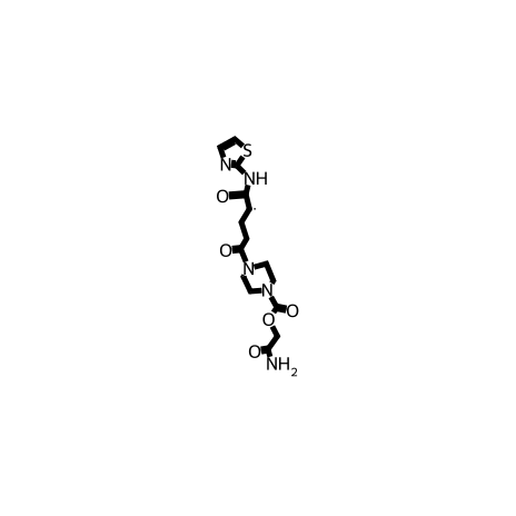 NC(=O)COC(=O)N1CCN(C(=O)CC[CH]C(=O)Nc2nccs2)CC1